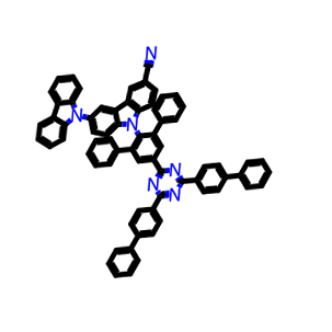 N#Cc1ccc2c(c1)c1cc(-n3c4ccccc4c4ccccc43)ccc1n2-c1c(-c2ccccc2)cc(-c2nc(-c3ccc(-c4ccccc4)cc3)nc(-c3ccc(-c4ccccc4)cc3)n2)cc1-c1ccccc1